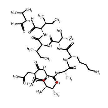 CC[C@H](C)[C@H](NC(=O)[C@@H](NC(=O)[C@H](CCCCN)NC(=O)[C@H](C)NC(=O)[C@H](CC(N)=O)NC(=O)[C@H](CC(=O)O)NC(=O)[C@@H](N)[C@@H](C)O)[C@@H](C)O)C(=O)N[C@H](C(=O)N[C@H](C(=O)O)C(C)C)[C@@H](C)CC